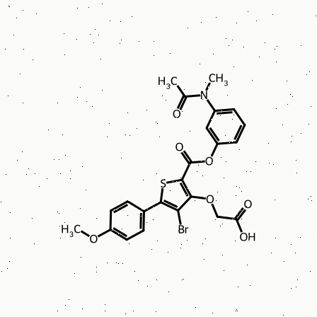 COc1ccc(-c2sc(C(=O)Oc3cccc(N(C)C(C)=O)c3)c(OCC(=O)O)c2Br)cc1